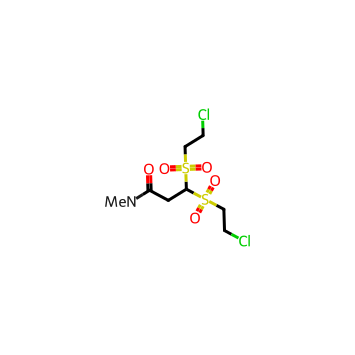 CNC(=O)CC(S(=O)(=O)CCCl)S(=O)(=O)CCCl